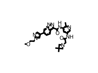 COCCn1cc(-c2ccc3c(C(=O)Nc4cc(NC(=O)CN5CC(C)(C)C5)cnc4C)nnn3c2)cn1